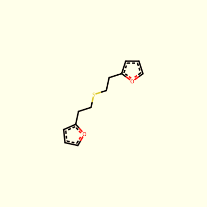 c1coc(CCSCCc2ccco2)c1